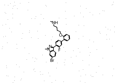 CNCCCCOc1ccccc1-c1ccc(-c2nn(C)c3cc(Br)ccc23)c(F)c1